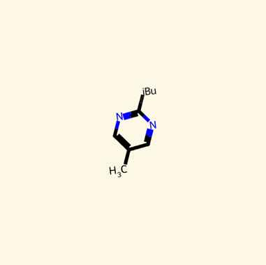 CCC(C)c1ncc(C)cn1